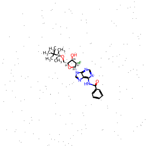 CC(C)(C)[Si](C)(C)OC[C@H]1O[C@@H](n2cnc3c(NC(=O)c4ccccc4)ncnc32)[C@H](F)[C@@H]1O